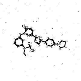 CCN(C(=O)O)c1cccc(Cn2nc(-c3nc(-c4ccc(N5CCCC5)cc4)cs3)ccc2=O)c1